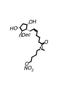 CCCCCCCCCC[C@@H]1[C@@H](C/C=C\CCCC(=O)N(C)CCCCO[N+](=O)[O-])[C@@H](O)C[C@H]1O